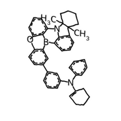 CC12CCCCC1(C)N1c3cccc4c3B(c3cc(-c5cccc(N(C6=CCCCC6)c6ccccc6)c5)ccc3O4)c3cccc2c31